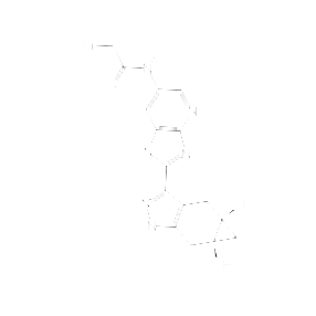 CN(C(=O)CC(C)(C)C)c1cnc2nc(-c3n[nH]c4c3C[C@@H]3C[C@]3(C)C4)[nH]c2c1